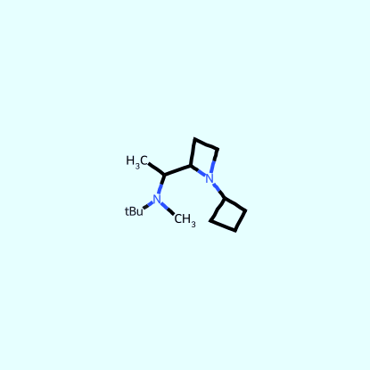 CC(C1CCN1C1CCC1)N(C)C(C)(C)C